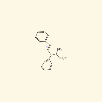 CCOC(=O)C(N)C(/C=C/c1ccccc1)c1ccccc1